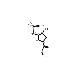 COC(=O)C1CC(O)C(NC(C)=O)C1